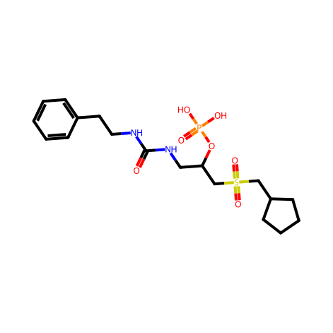 O=C(NCCc1ccccc1)NCC(CS(=O)(=O)CC1CCCC1)OP(=O)(O)O